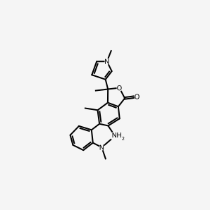 Cc1c(-c2ccccc2N(C)C)c(N)cc2c1C(C)(c1ccn(C)c1)OC2=O